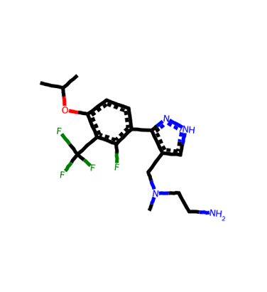 CC(C)Oc1ccc(-c2n[nH]cc2CN(C)CCN)c(F)c1C(F)(F)F